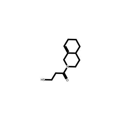 O=C(CCS)N1CCC2CCCC=C2C1